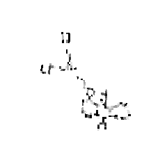 O=c1c2ccccc2[nH]c2c(OCCCCN(CCCl)CCCl)cccc12